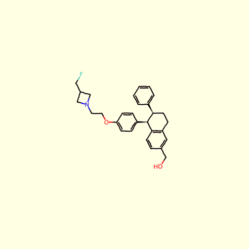 OCc1ccc2c(c1)CC[C@H](c1ccccc1)[C@@H]2c1ccc(OCCN2CC(CF)C2)cc1